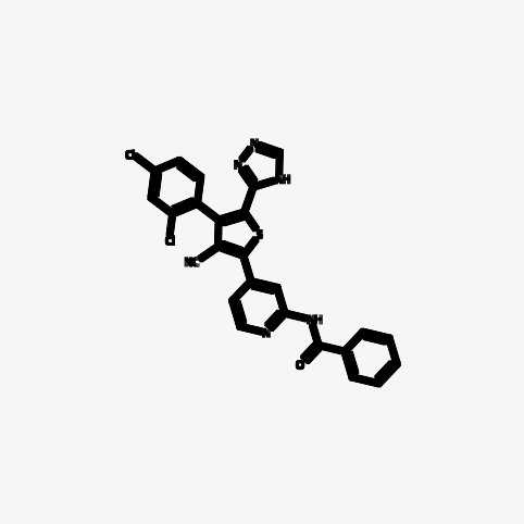 N#Cc1c(-c2ccnc(NC(=O)c3ccccc3)c2)sc(-c2nnc[nH]2)c1-c1ccc(Cl)cc1Cl